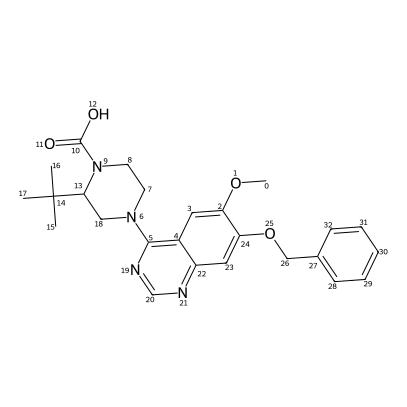 COc1cc2c(N3CCN(C(=O)O)C(C(C)(C)C)C3)ncnc2cc1OCc1ccccc1